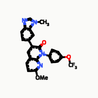 COc1ccc2cc(-c3ccc4ncn(C)c4c3)c(=O)n(-c3ccc(OC(F)(F)F)cc3)c2n1